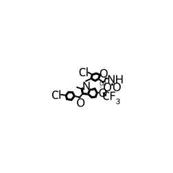 Cc1c(C(=O)c2ccc(Cl)cc2)c2ccc(OC(F)(F)F)cc2n1Cc1cc([C@]2(C)OC(=O)NC2=O)ccc1Cl